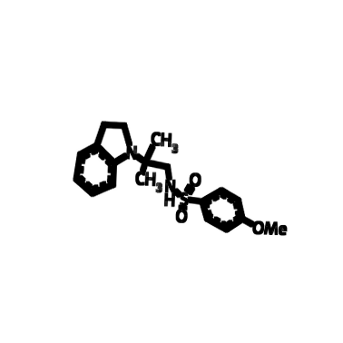 COc1ccc(S(=O)(=O)NCC(C)(C)N2CCc3ccccc32)cc1